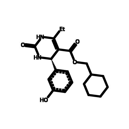 CCC1=C(C(=O)OCC2CCCCC2)[C@H](c2cccc(O)c2)NC(=O)N1